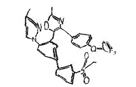 Cc1ccn(-c2ccc(-c3cccc(S(C)(=O)=O)c3)cc2-c2oc(C)nc2-c2ccc(OC(F)(F)F)cc2)n1